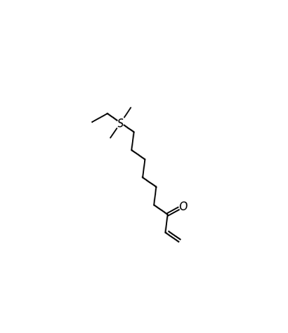 C=CC(=O)CCCCCCS(C)(C)CC